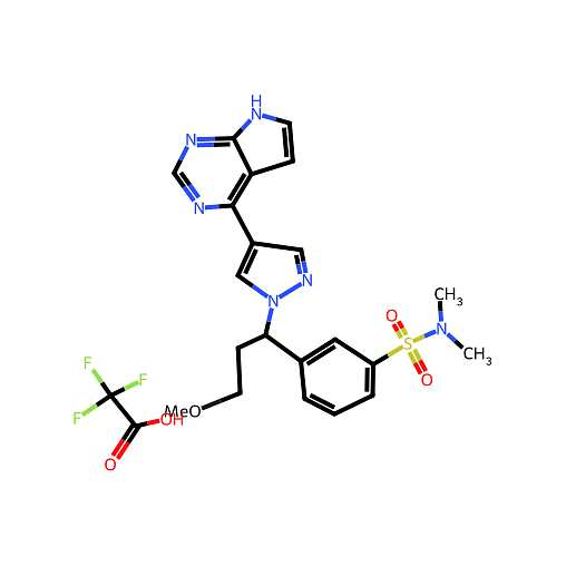 COCCC(c1cccc(S(=O)(=O)N(C)C)c1)n1cc(-c2ncnc3[nH]ccc23)cn1.O=C(O)C(F)(F)F